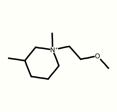 COCC[N+]1(C)CCCC(C)C1